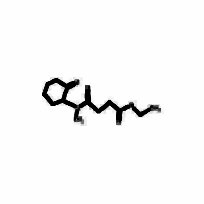 CCOC(=O)CCC(=O)N(C)C1CCCCC1=O